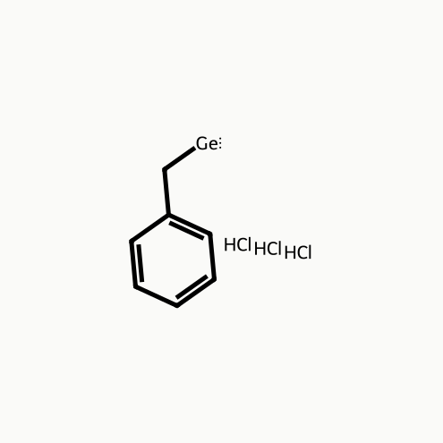 Cl.Cl.Cl.[Ge][CH2]c1ccccc1